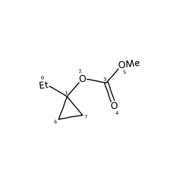 CCC1(OC(=O)OC)CC1